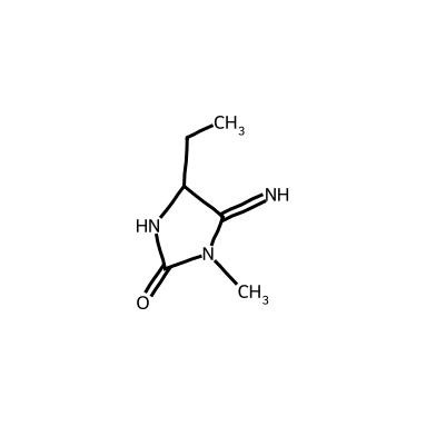 CCC1NC(=O)N(C)C1=N